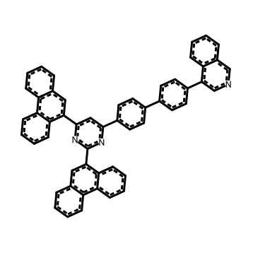 c1ccc2c(-c3ccc(-c4ccc(-c5cc(-c6cc7ccccc7c7ccccc67)nc(-c6cc7ccccc7c7ccccc67)n5)cc4)cc3)cncc2c1